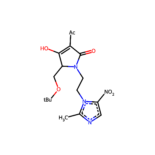 CC(=O)C1=C(O)C(COC(C)(C)C)N(CCn2c([N+](=O)[O-])cnc2C)C1=O